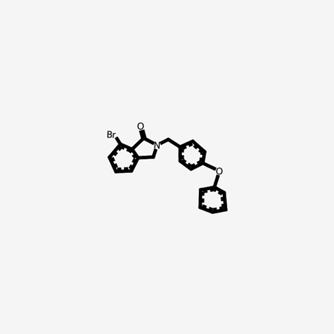 O=C1c2c(Br)cccc2CN1Cc1ccc(Oc2ccccc2)cc1